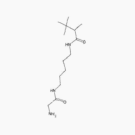 CC(C(=O)NCCCCCNC(=O)CN)C(C)(C)C